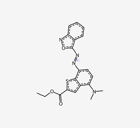 CCOC(=O)c1cc2c(N(C)C)ccc(/N=N/c3onc4ccccc34)c2s1